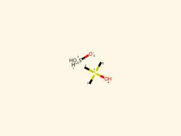 CS(C)(C)O.O=S(=O)([O-])O.[H+]